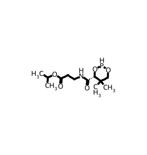 CC(C)OC(=O)CCNC(=O)[C@@H]1OPOCC1(C)C